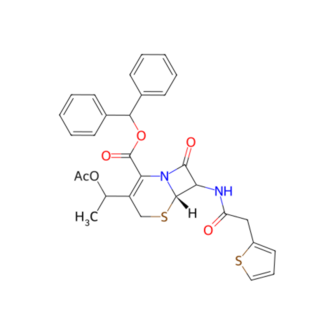 CC(=O)OC(C)C1=C(C(=O)OC(c2ccccc2)c2ccccc2)N2C(=O)C(NC(=O)Cc3cccs3)[C@@H]2SC1